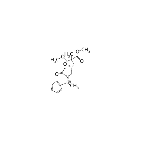 COC(=O)C(C)(C[C@H]1CC(=O)N([C@@H](C)c2ccccc2)C1)C(=O)OC